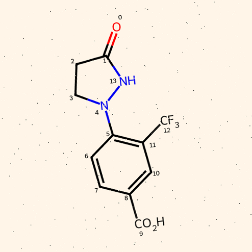 O=C1CCN(c2ccc(C(=O)O)cc2C(F)(F)F)N1